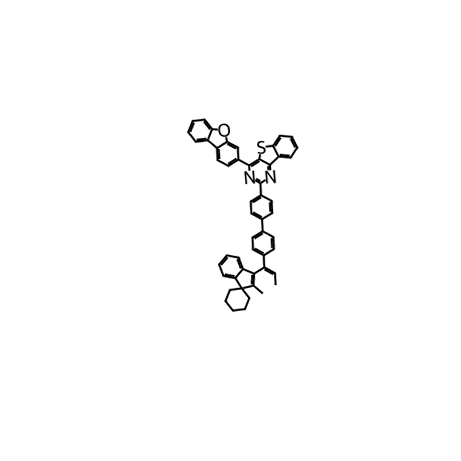 C/C=C(\C1=C(C)C2(CCCCC2)c2ccccc21)c1ccc(-c2ccc(-c3nc(-c4ccc5c(c4)oc4ccccc45)c4sc5ccccc5c4n3)cc2)cc1